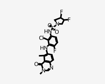 Cc1c(Nc2c(F)ccc(NS(=O)(=O)N3CC(F)C(F)C3)c2Cl)ccc2ncn(C)c(=O)c12